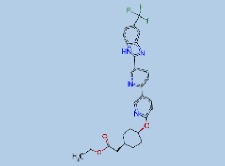 CCOC(=O)C[C@H]1CC[C@@H](Oc2ccc(-c3ccc(-c4nc5cc(C(F)(F)F)ccc5[nH]4)cn3)cn2)CC1